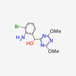 COc1nc(OC)nc(C(O)c2cccc(Br)c2N)n1